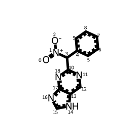 O=[N+]([O-])C(c1ccccc1)c1ncc2[nH]cnc2n1